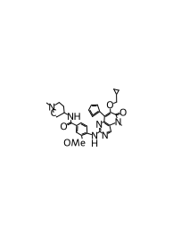 COc1cc(C(=O)NC2CCN(C)CC2)ccc1Nc1ncc2c(n1)c(C1=C=CC=C1)c(OCC1CC1)c(=O)n2C